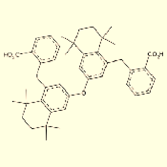 CC1(C)CCC(C)(C)c2c(Cc3ccccc3C(=O)O)cc(Oc3cc(Cc4ccccc4C(=O)O)c4c(c3)C(C)(C)CCC4(C)C)cc21